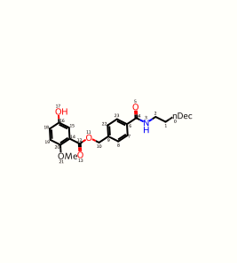 CCCCCCCCCCCCNC(=O)c1ccc(COC(=O)c2cc(O)ccc2OC)cc1